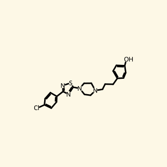 Oc1ccc(CCCN2CCN(c3nc(-c4ccc(Cl)cc4)ns3)CC2)cc1